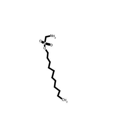 CCCCCCCCCCCOS(=O)(=O)CN